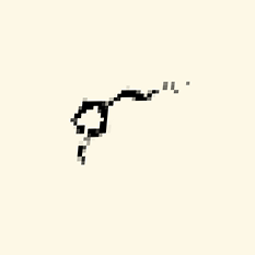 CCOC(=O)/C=C/c1cnn(CC)c1